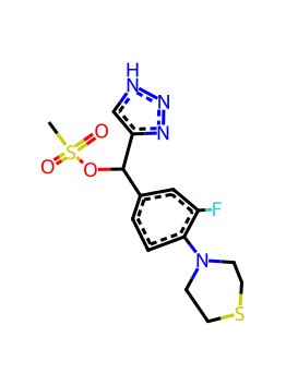 CS(=O)(=O)OC(c1ccc(N2CCSCC2)c(F)c1)c1c[nH]nn1